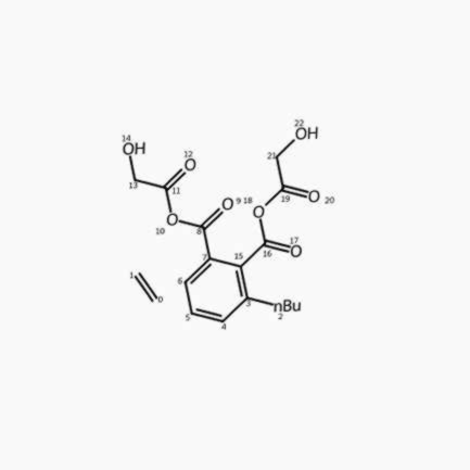 C=C.CCCCc1cccc(C(=O)OC(=O)CO)c1C(=O)OC(=O)CO